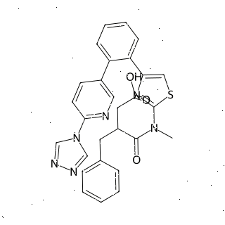 CN(C(=O)C(CC(=O)O)Cc1ccccc1)c1nc(-c2ccccc2-c2ccc(-n3cnnc3)nc2)cs1